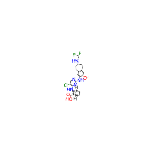 COc1cc2c(cc1Nc1ncc(Cl)c(N[C@H]3[C@@H](C(=O)O)[C@@H]4C=C[C@H]3C4)n1)CCC(NCC(F)F)CC2